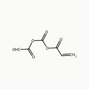 C=CC(=O)OC(=O)OC(=O)C=O